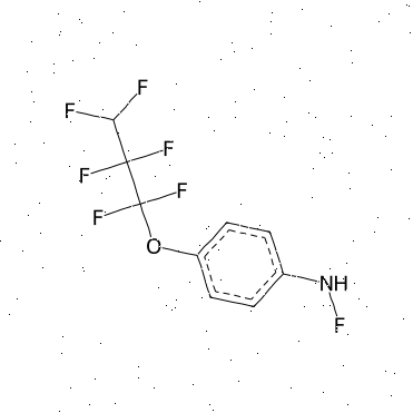 FNc1ccc(OC(F)(F)C(F)(F)C(F)F)cc1